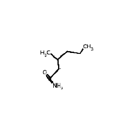 CCCC(C)[CH]C(N)=O